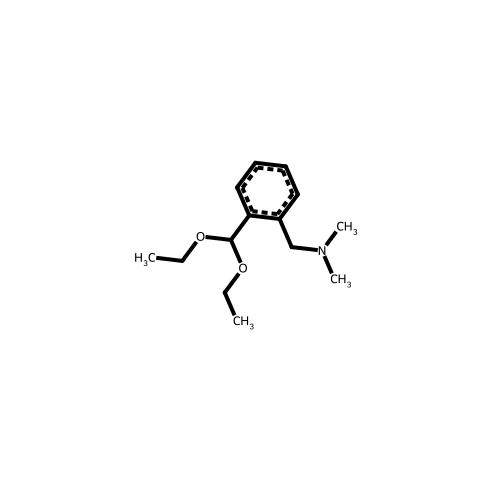 CCOC(OCC)c1ccccc1CN(C)C